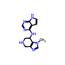 Cn1cnc2c1C(Nc1ncnc3[nH]ccc13)CNC2